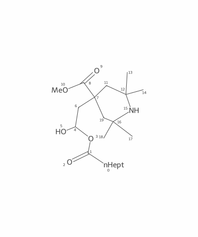 CCCCCCCC(=O)OC(O)CC1(C(=O)OC)CC(C)(C)NC(C)(C)C1